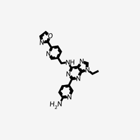 CCn1cnc2c(NCc3ccc(-c4ncco4)nc3)nc(-c3ccc(N)nc3)nc21